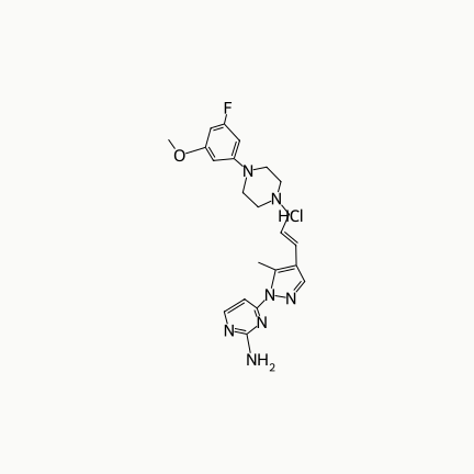 COc1cc(F)cc(N2CCN(C/C=C/c3cnn(-c4ccnc(N)n4)c3C)CC2)c1.Cl